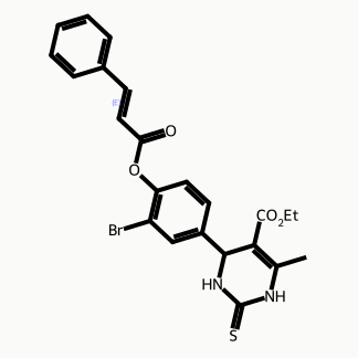 CCOC(=O)C1=C(C)NC(=S)NC1c1ccc(OC(=O)/C=C/c2ccccc2)c(Br)c1